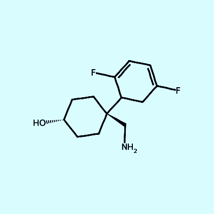 NC[C@]1(C2CC(F)=CC=C2F)CC[C@@H](O)CC1